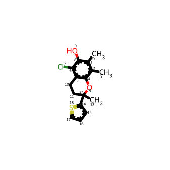 Cc1c(C)c2c(c(Cl)c1O)CCC(C)(c1cccs1)O2